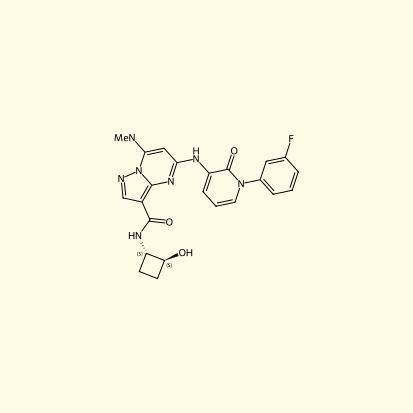 CNc1cc(Nc2cccn(-c3cccc(F)c3)c2=O)nc2c(C(=O)N[C@H]3CC[C@@H]3O)cnn12